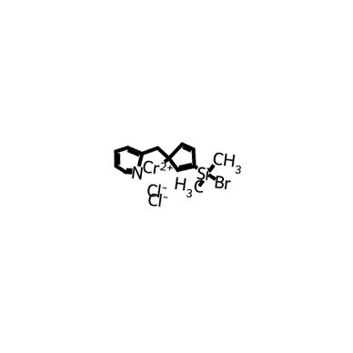 C[Si](C)(Br)C1=C[C]([Cr+2])(Cc2ccccn2)C=C1.[Cl-].[Cl-]